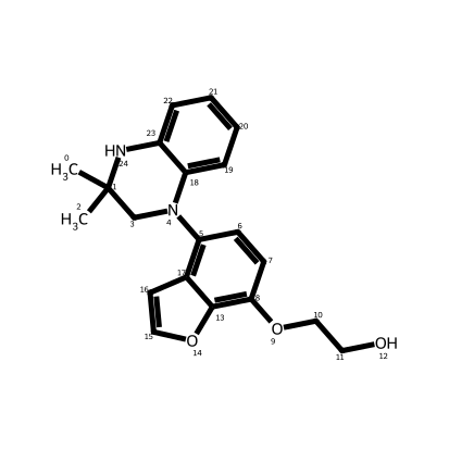 CC1(C)CN(c2ccc(OCCO)c3occc23)c2ccccc2N1